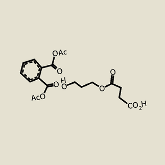 CC(=O)OC(=O)c1ccccc1C(=O)OC(C)=O.O=C(O)CCC(=O)OCCCO